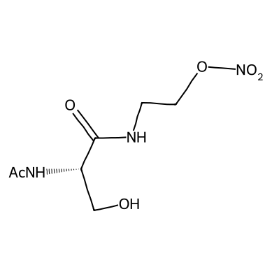 CC(=O)N[C@@H](CO)C(=O)NCCO[N+](=O)[O-]